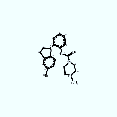 CN1CCN(C(=O)Nc2ccccc2N2CCc3cc(Br)ccc32)CC1